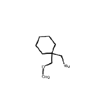 CC(C)(C)CC1(COC=O)CCCCC1